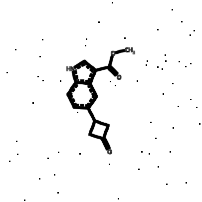 COC(=O)c1c[nH]c2ccc(C3CC(=O)C3)cc12